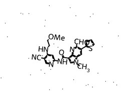 COCCNc1cc(NC(=O)c2cn(C)c3cc(-c4cccs4)c(C=O)nc23)ncc1C#N